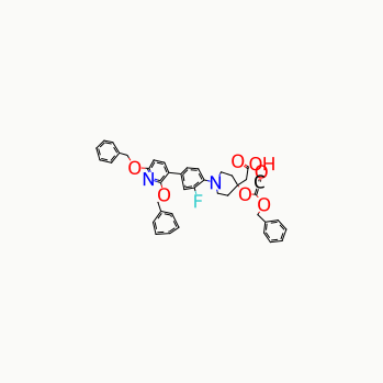 O=C=C(OCc1ccccc1)OC1(CC(=O)O)CCN(c2ccc(-c3ccc(OCc4ccccc4)nc3OCc3ccccc3)cc2F)CC1